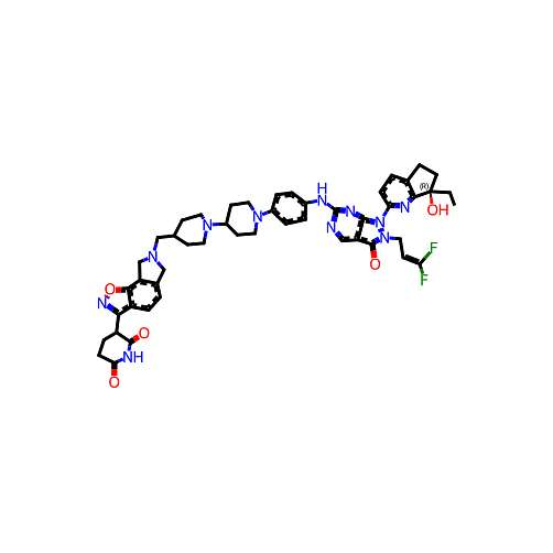 CC[C@@]1(O)CCc2ccc(-n3c4nc(Nc5ccc(N6CCC(N7CCC(CN8Cc9ccc%10c(C%11CCC(=O)NC%11=O)noc%10c9C8)CC7)CC6)cc5)ncc4c(=O)n3CC=C(F)F)nc21